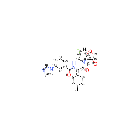 C[C@H]1CC[C@H](C(NC(=O)c2cccc(-n3ccnc3)c2)C(=O)N2C[C@@H](F)[C@H]3OCC(=O)[C@H]32)CC1